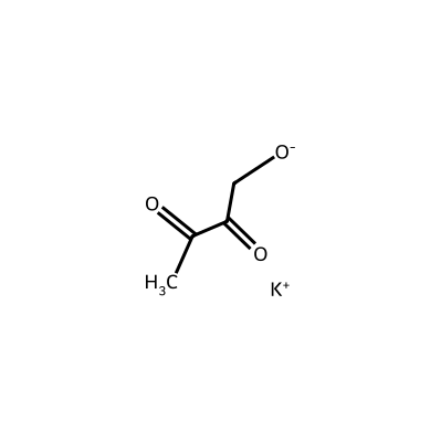 CC(=O)C(=O)C[O-].[K+]